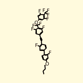 CCCCOc1ccc(-c2ccc(C#Cc3cc(F)c(C(F)(F)Oc4cc(F)c(C(F)(F)F)c(F)c4)c(F)c3)c(F)c2)c(F)c1